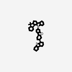 CC1(C)c2ccccc2-c2c1ccc1c3ccccc3n(-c3ccc4c(c3)oc3cc(-c5cccc6c5sc5ccccc56)ccc34)c21